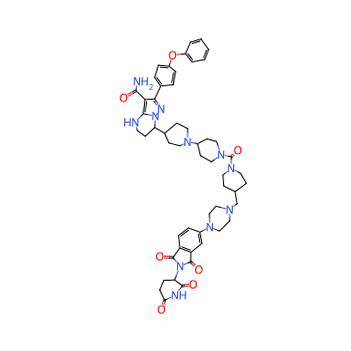 NC(=O)c1c(-c2ccc(Oc3ccccc3)cc2)nn2c1NCCC2C1CCN(C2CCN(C(=O)N3CCC(CN4CCN(c5ccc6c(c5)C(=O)N(C5CCC(=O)NC5=O)C6=O)CC4)CC3)CC2)CC1